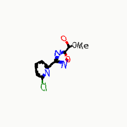 COC(=O)c1nc(-c2cccc(Cl)n2)no1